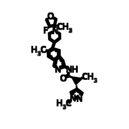 Cc1cc2cnc(NC(=O)[C@H]3[C@@H](C)[C@@H]3c3cnn(C)c3)cc2cc1C1CCN([C@@]2(C)COC[C@H]2F)CC1